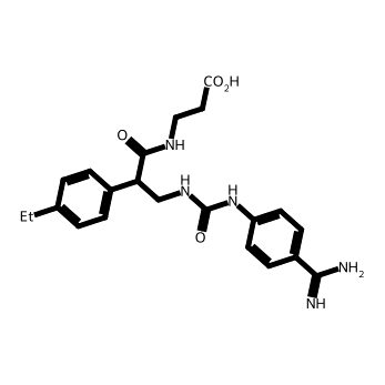 CCc1ccc(C(CNC(=O)Nc2ccc(C(=N)N)cc2)C(=O)NCCC(=O)O)cc1